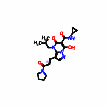 CC(C)Cn1c(=O)c(C(=O)NC2CC2)c(O)n2ncc(/C=C/C(=O)N3CCCC3)c12